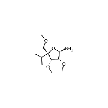 B[C@@H]1O[C@@](COC)(C(C)C)[C@@H](OC)[C@H]1OC